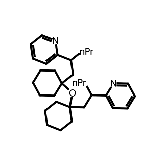 CCCC(CC1(OC2(CC(CCC)c3ccccn3)CCCCC2)CCCCC1)c1ccccn1